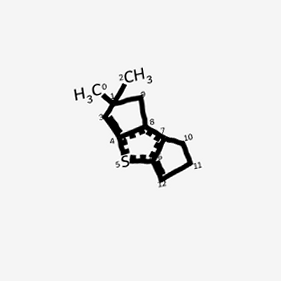 CC1(C)C=c2sc3c(c2C1)CCC=3